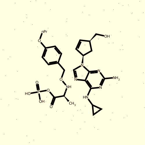 CCCOc1ccc(CON[C@@H](C)C(=O)OP(=O)(O)O)cc1.Nc1nc(NC2CC2)c2ncn([C@H]3C=C[C@@H](CO)C3)c2n1